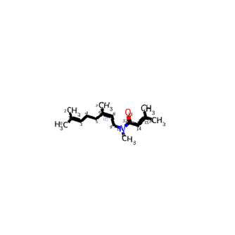 CC(C)=CCC/C(C)=C\CN(C)C(=O)C=C(C)C